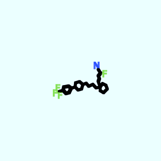 N#CC(F)=CC=CC1(CCCCC2CCC(c3ccc(C(F)(F)F)cc3)CC2)CCCCC1